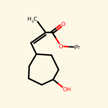 CC(=CC1CCCC(O)CC1)C(=O)OC(C)C